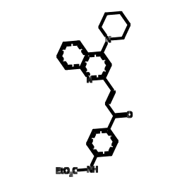 CCOC(=O)Nc1ccc(C(=O)/C=C/c2cc(N3CCCCC3)c3ccccc3n2)cc1